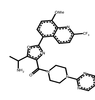 COc1ccc(-c2nc(C(=O)N3CCN(c4ncccn4)CC3)c(C(C)N)o2)c2ccc(C(F)(F)F)nc12